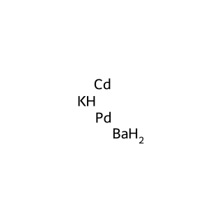 [BaH2].[Cd].[KH].[Pd]